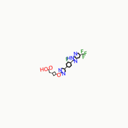 O=C(O)C[C@H]1C[C@@H](Oc2ncc(-c3ccc(-c4nc5cc(C(F)(F)F)cnc5[nH]4)c(F)c3)cn2)C1